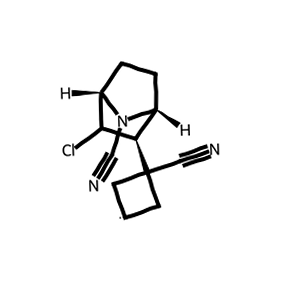 N#CN1[C@@H]2CC[C@H]1C(Cl)[C@@H]2C1(C#N)C[CH]C1